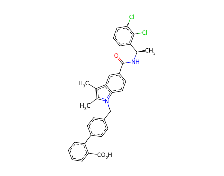 Cc1c(C)n(Cc2ccc(-c3ccccc3C(=O)O)cc2)c2ccc(C(=O)N[C@H](C)c3cccc(Cl)c3Cl)cc12